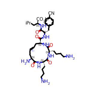 CC(C)C[C@H](NC(=O)[C@H](Cc1ccc(C#N)cc1)NC(=O)[C@@H]1C/C=C/C[C@H](N)C(=O)N[C@@H](CCCCN)C(=O)N[C@@H](CCCCN)C(=O)N1)C(=O)O